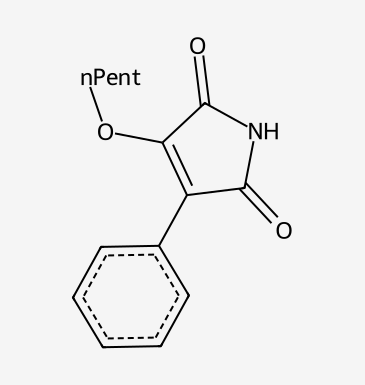 CCCCCOC1=C(c2ccccc2)C(=O)NC1=O